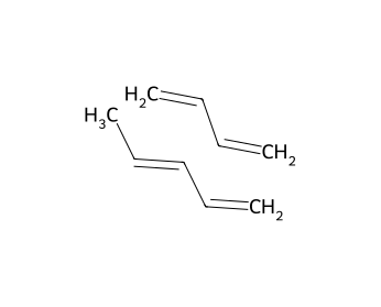 C=CC=C.C=CC=CC